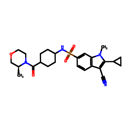 C[C@H]1COCCN1C(=O)C1CCC(NS(=O)(=O)c2ccc3c(C#N)c(C4CC4)n(C)c3c2)CC1